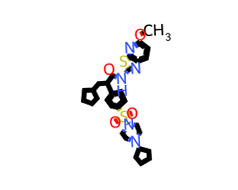 COc1ccc2nc(NC(=O)C(CC3CCCC3)c3ccc(S(=O)(=O)N4CCN(C5CCCC5)CC4)cc3)sc2n1